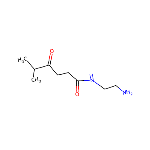 CC(C)C(=O)CCC(=O)NCCN